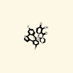 O=C1c2c(O)c(=O)ccn2N([C@@H]2c3ccc(F)cc3-c3ccsc3-c3cc(F)ccc32)[C@@H]2COCCN12